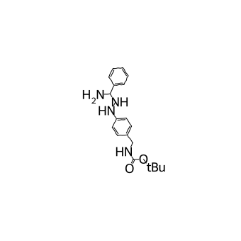 CC(C)(C)OC(=O)NCc1ccc(NNC(N)c2ccccc2)cc1